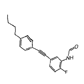 CCCCc1ccc(C#Cc2ccc(F)c(NC=O)c2)cc1